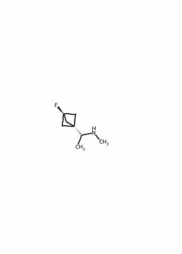 CNC(C)[C@]12C[C@@](F)(C1)C2